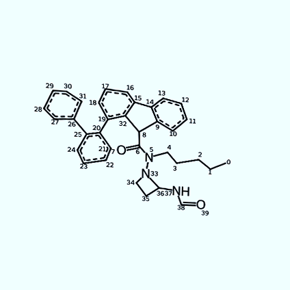 CCCCCN(C(=O)C1c2ccccc2-c2cccc(-c3ccccc3-c3ccccc3)c21)N1CCC1NC=O